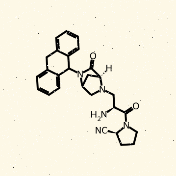 N#C[C@@H]1CCCN1C(=O)[C@@H](N)CN1CC2C[C@H]1C(=O)N2C1c2ccccc2Cc2ccccc21